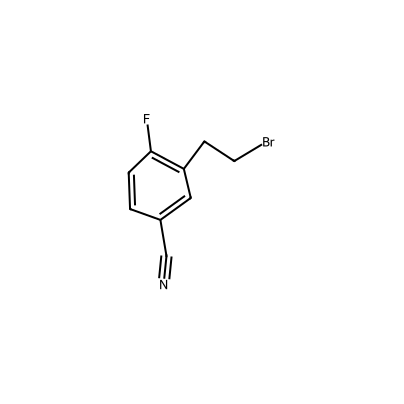 N#Cc1ccc(F)c(CCBr)c1